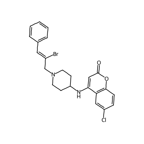 O=c1cc(NC2CCN(CC(Br)=Cc3ccccc3)CC2)c2cc(Cl)ccc2o1